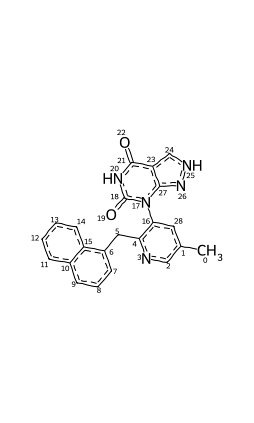 Cc1cnc(Cc2cccc3ccccc23)c(-n2c(=O)[nH]c(=O)c3c[nH]nc32)c1